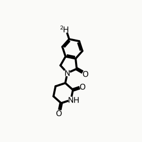 [2H]c1ccc2c(c1)CN(C1CCC(=O)NC1=O)C2=O